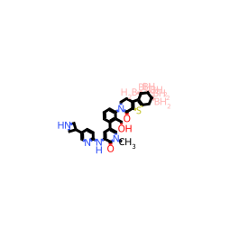 BC1(B)Cc2sc3c(c2C(B)(B)C1(B)B)CCN(c1cccc(-c2cc(Nc4ccc(C5CNC5)cn4)c(=O)n(C)c2)c1CO)C3=O